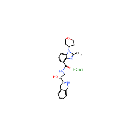 Cc1nc2c(C(=O)NC[C@@H](O)[C@@H]3Cc4ccccc4CN3)cccc2n1C1CCOCC1.Cl.Cl